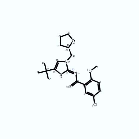 COc1ccc(Cl)cc1C(=S)/N=c1\sc(C(C)(C)C)cn1C[C@H]1CCCO1